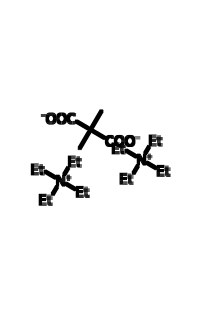 CC(C)(C(=O)[O-])C(=O)[O-].CC[N+](CC)(CC)CC.CC[N+](CC)(CC)CC